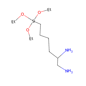 CCO[Si](CCCCC(N)CN)(OCC)OCC